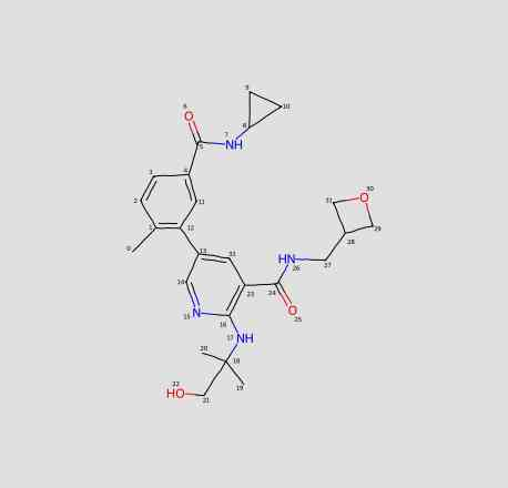 Cc1ccc(C(=O)NC2CC2)cc1-c1cnc(NC(C)(C)CO)c(C(=O)NCC2COC2)c1